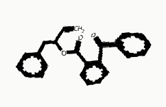 C=CC(Cc1ccccc1)OC(=O)c1ccccc1C(=O)c1ccccc1